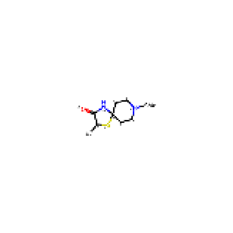 CCC1SC2(CCN(SC)CC2)NC1=O